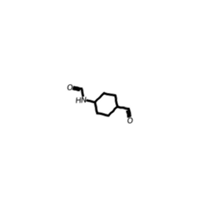 O=CNC1CCC(C=O)CC1